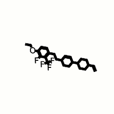 C=CC1CCC(C2C=CC(CCc3ccc(OCC)c(F)c3C(F)(F)F)CC2)CC1